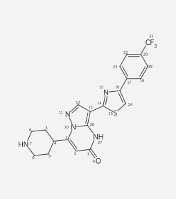 O=c1cc(C2CCNCC2)n2ncc(-c3nc(-c4ccc(C(F)(F)F)cc4)cs3)c2[nH]1